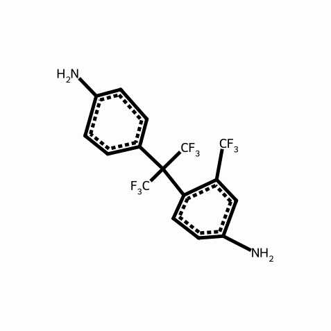 Nc1ccc(C(c2ccc(N)cc2C(F)(F)F)(C(F)(F)F)C(F)(F)F)cc1